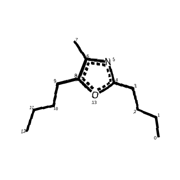 CCCCc1nc(C)c(CCCC)o1